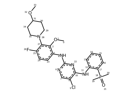 COc1c(Nc2ncc(Cl)c(Nc3ccccc3P(C)(C)=O)n2)ccc(F)c1N1CCC(OC)CC1